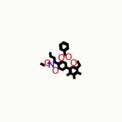 CCCC(=NOCC)C1=C(OC(=O)c2ccccc2)CC(c2c(C)c(C)c(C)c3c2OCC3)CC1=O